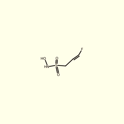 O=S(=O)(CC=CF)NO